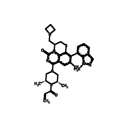 C=CC(=O)N1[C@H](C)CN(c2nc(=O)n3c4c(c(-c5cccc6cnn(C)c56)c(C(F)(F)F)cc24)SCC3CN2CCC2)C[C@@H]1C